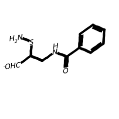 NSC([C]=O)CNC(=O)c1ccccc1